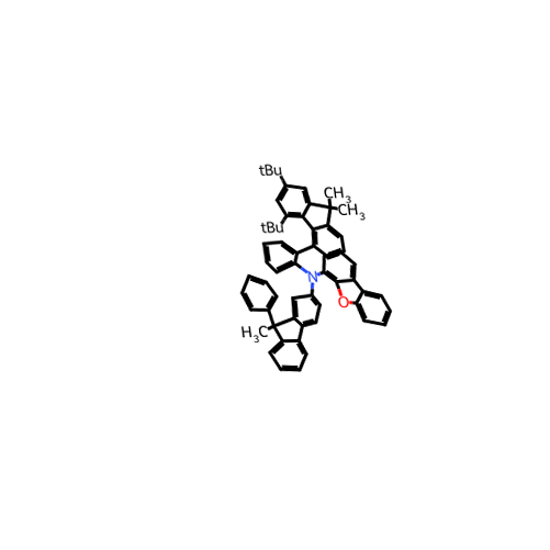 CC(C)(C)c1cc(C(C)(C)C)c2c(c1)C(C)(C)c1cccc(-c3ccccc3N(c3ccc4c(c3)C(C)(c3ccccc3)c3ccccc3-4)c3cccc4c3oc3ccccc34)c1-2